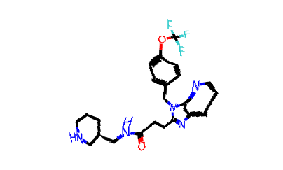 O=C(CCc1nc2cccnc2n1Cc1ccc(OC(F)(F)F)cc1)NC[C@@H]1CCCNC1